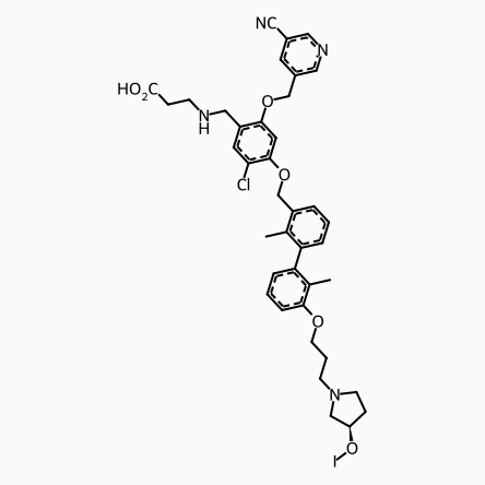 Cc1c(COc2cc(OCc3cncc(C#N)c3)c(CNCCC(=O)O)cc2Cl)cccc1-c1cccc(OCCCN2CC[C@@H](OI)C2)c1C